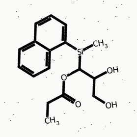 CCC(=O)OC(C(O)CO)[Si](C)c1cccc2ccccc12